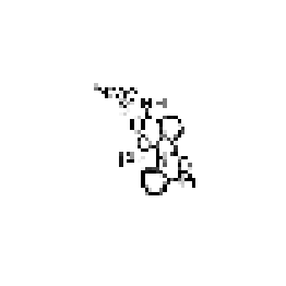 CNC(=S)NC(=O)c1cccc2c1C(=O)N(c1c(C(C)C)cccc1C(C)C)C2=O